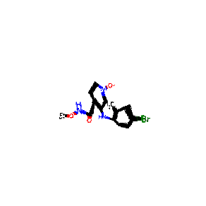 CCONC(=O)c1cc[n+]([O-])cc1Nc1ccc(Br)cc1C